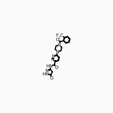 O=C1CC(NC(=O)c2ccc(N3CCN(C(=O)c4ccccc4C(F)(F)F)CC3)nn2)=NN1